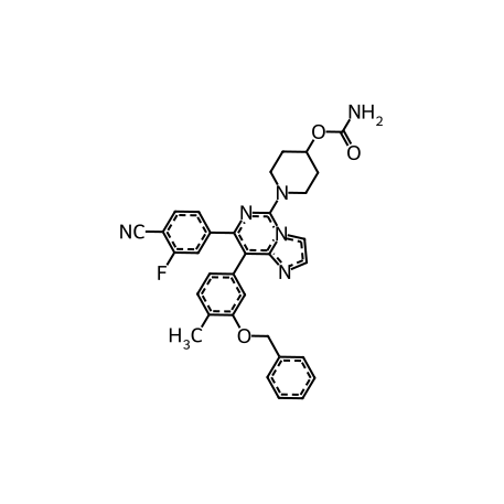 Cc1ccc(-c2c(-c3ccc(C#N)c(F)c3)nc(N3CCC(OC(N)=O)CC3)n3ccnc23)cc1OCc1ccccc1